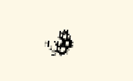 NN1C(=O)CCc2ccc3nnncc3c21